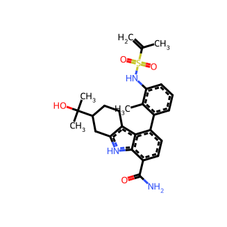 C=C(C)S(=O)(=O)Nc1cccc(-c2ccc(C(N)=O)c3[nH]c4c(c23)CCC(C(C)(C)O)C4)c1C